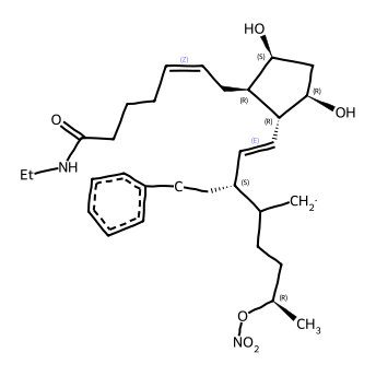 [CH2]C(CC[C@@H](C)O[N+](=O)[O-])[C@@H](/C=C/[C@@H]1[C@@H](C/C=C\CCCC(=O)NCC)[C@@H](O)C[C@H]1O)CCc1ccccc1